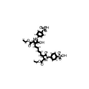 CCOC(=O)C1=NN(c2ccc(S(=O)(=O)O)cc2)C(=O)C1=CC=CC=Cc1c(C(=O)OCC)nn(-c2ccc(S(=O)(=O)O)cc2)c1O